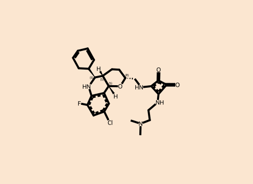 CN(C)CCNc1c(NC[C@H]2CC[C@@H]3[C@H](O2)c2cc(Cl)cc(F)c2N[C@H]3C2C=CC=CC2)c(=O)c1=O